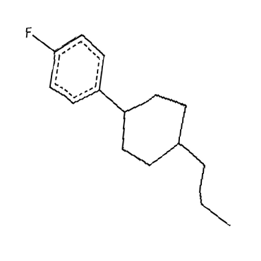 CCCC1CCC(c2ccc(F)cc2)CC1